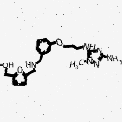 Cn1nc(N)nc1NCCCOc1cccc(CNCc2ccc(CO)o2)c1